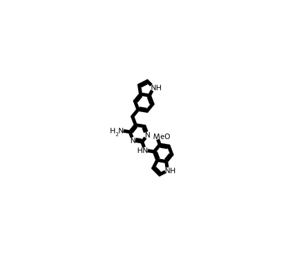 COc1ccc2[nH]ccc2c1Nc1ncc(Cc2ccc3[nH]ccc3c2)c(N)n1